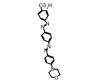 O=C(O)c1ccc(N=Nc2ccc(N=Nc3ccc(N4CCOCC4)cc3)cc2)cc1